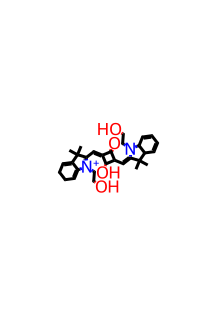 CC1(C)C2=CCCC=C2[N+](CCO)=C1/C=C1/C(=O)C(/C=C2\N(CCO)C3C=CC=CC3C2(C)C)C1O